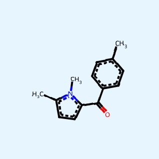 Cc1ccc(C(=O)c2ccc(C)n2C)cc1